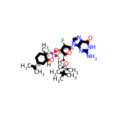 C=C(C)[C@@H]1CC[C@]2(C)SP(=S)(O[C@H]3[C@@H](F)[C@H](n4cnc5c(=O)[nH]c(N)nc54)O[C@@H]3CO[Si](C)(C)C(C)(C)C)O[C@H]2C1